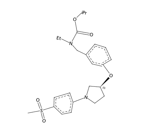 CCN(Cc1cccc(O[C@H]2CCN(c3ccc(S(C)(=O)=O)cc3)C2)c1)C(=O)OC(C)C